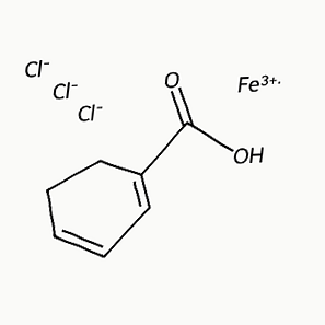 O=C(O)C1=CC=CCC1.[Cl-].[Cl-].[Cl-].[Fe+3]